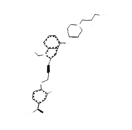 COC[C@H](O)CN1CC[C@H](Nc2cccc3c2cc(C#CCNc2ccc(C(=O)OC)cc2OC)n3CC(F)(F)F)[C@H](F)C1